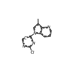 Cc1cn(-c2ccnc(Cl)n2)c2cccnc12